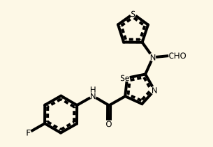 O=CN(c1ccsc1)c1ncc(C(=O)Nc2ccc(F)cc2)[se]1